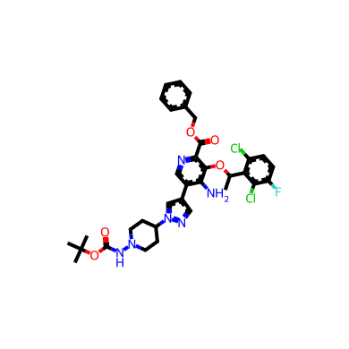 CC(Oc1c(C(=O)OCc2ccccc2)ncc(-c2cnn(C3CCN(NC(=O)OC(C)(C)C)CC3)c2)c1N)c1c(Cl)ccc(F)c1Cl